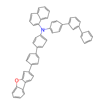 c1ccc(-c2cccc(-c3ccc(N(c4ccc(-c5ccc(-c6ccc7c(c6)oc6ccccc67)cc5)cc4)c4cccc5ccccc45)cc3)c2)cc1